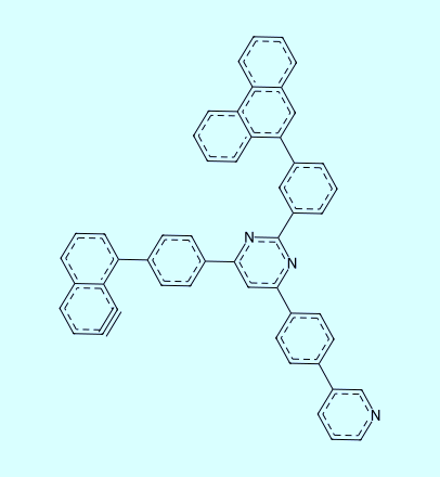 c1ccc2cccc(-c3ccc(-c4cc(-c5ccc(-c6cccnc6)cc5)nc(-c5cccc(-c6cc7ccccc7c7ccccc67)c5)n4)cc3)c2c#1